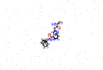 CC(C)NC(=O)Cc1cn2c(C(=O)NCC34CC5CC(CC(C5)C3)C4)cccc2n1